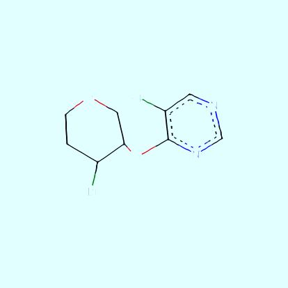 Clc1cncnc1O[C]1COCCC1Br